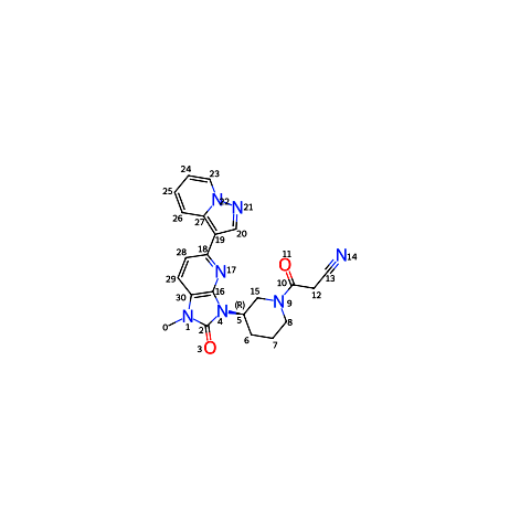 Cn1c(=O)n([C@@H]2CCCN(C(=O)CC#N)C2)c2nc(-c3cnn4ccccc34)ccc21